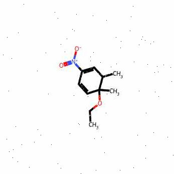 CCOC1(C)C=CC([N+](=O)[O-])=CC1C